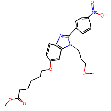 COCCCn1c(-c2ccc([N+](=O)[O-])cc2)nc2ccc(OCCCCCC(=O)OC)cc21